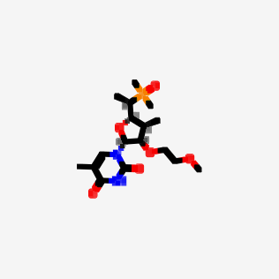 COCCO[C@@H]1[C@H](C)[C@@H]([C@@H](C)P(C)(C)=O)O[C@H]1n1cc(C)c(=O)[nH]c1=O